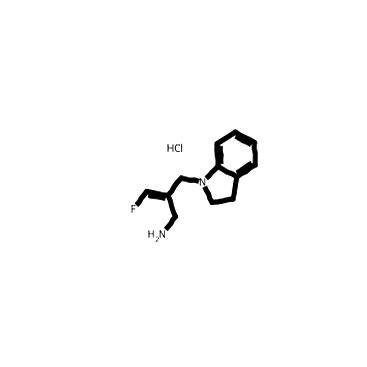 Cl.NC/C(=C\F)CN1CCc2ccccc21